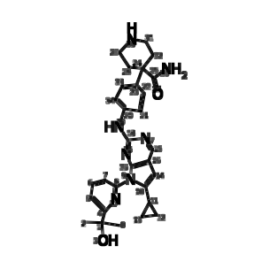 CC(C)(O)c1cccc(-n2c(C3CC3)cc3cnc(Nc4ccc(C5(C(N)=O)CCNCC5)cc4)nc32)n1